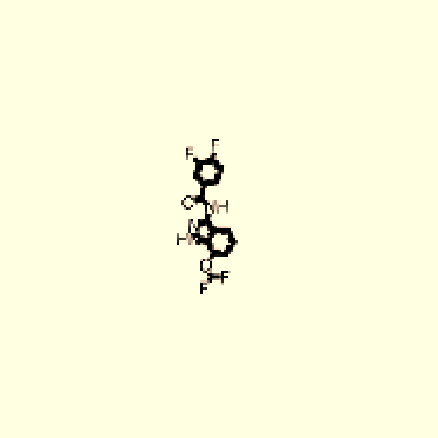 O=C(Nc1n[nH]c2c(OC(F)F)cccc12)c1ccc(F)c(F)c1